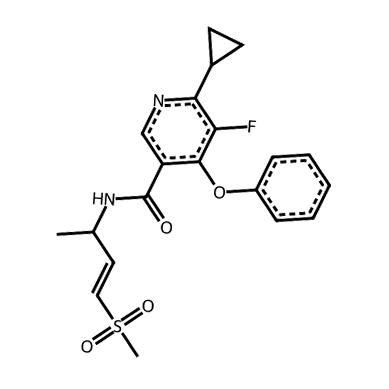 CC(/C=C/S(C)(=O)=O)NC(=O)c1cnc(C2CC2)c(F)c1Oc1ccccc1